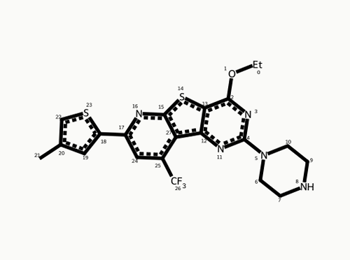 CCOc1nc(N2CCNCC2)nc2c1sc1nc(-c3cc(C)cs3)cc(C(F)(F)F)c12